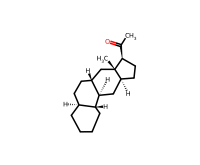 CC(=O)[C@H]1CC[C@H]2C[C@@H]3[C@H](CC[C@@H]4CCCC[C@H]43)C[C@@]21C